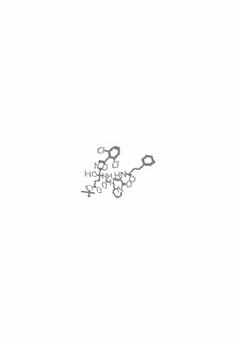 CC(C)(C)OC(=O)CCC(O)(NC(=O)N1C=C(NC(=O)CCc2ccccc2)C(=O)N2CCCC12)c1ncc(-c2c(Cl)cccc2Cl)o1